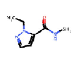 CCn1nccc1C(=O)N[SiH3]